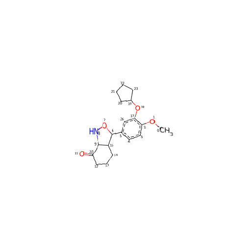 COc1ccc(C2ONC3C(=O)CCCC32)cc1OC1CCCC1